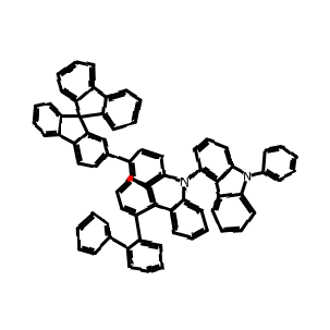 c1ccc(-c2ccccc2-c2ccccc2-c2ccccc2N(c2ccc(-c3ccc4c(c3)C3(c5ccccc5-c5ccccc53)c3ccccc3-4)cc2)c2cccc3c2c2ccccc2n3-c2ccccc2)cc1